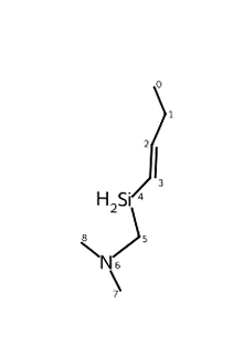 CCC=C[SiH2]CN(C)C